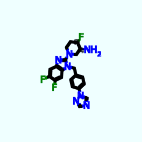 N[C@@H]1CN(c2nc3cc(F)c(F)cc3n2Cc2ccc(-n3cncn3)cc2)CC[C@H]1F